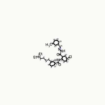 CCN(CC)CCSCc1cccc(C(=O)Nc2ccc(Cl)cc2C(=O)N/N=C/c2cccc(C)c2)c1